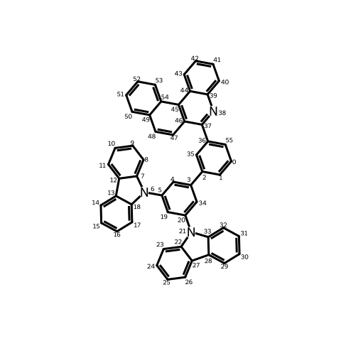 c1cc(-c2cc(-n3c4ccccc4c4ccccc43)cc(-n3c4ccccc4c4ccccc43)c2)cc(-c2nc3ccccc3c3c2ccc2ccccc23)c1